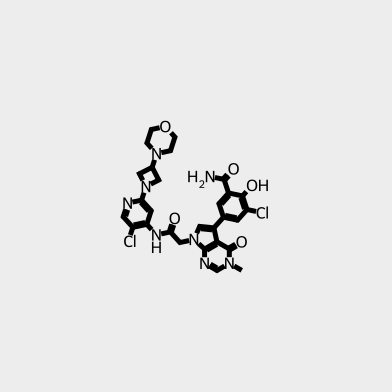 Cn1cnc2c(c(-c3cc(Cl)c(O)c(C(N)=O)c3)cn2CC(=O)Nc2cc(N3CC(N4CCOCC4)C3)ncc2Cl)c1=O